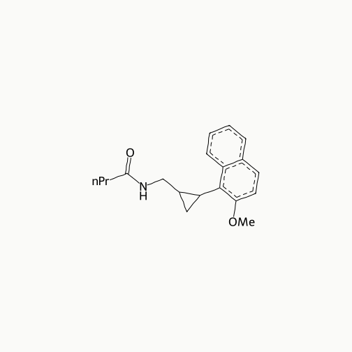 CCCC(=O)NCC1CC1c1c(OC)ccc2ccccc12